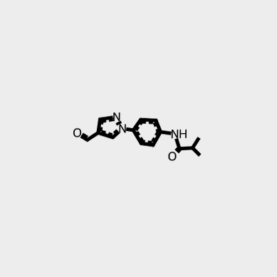 CC(C)C(=O)Nc1ccc(-n2cc(C=O)cn2)cc1